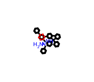 NN(Cc1ccccc1)[C@@H](Nc1c(-c2cccc(-c3ccccc3)c2)ccc2c1C(c1ccccc1)(c1ccccc1)c1ccccc1-2)c1ccccc1